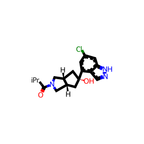 CC(C)C(=O)N1C[C@@H]2C[C@@](O)(c3cc(Cl)cc4[nH]ncc34)C[C@@H]2C1